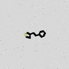 C(=C\c1ccsc1)/c1ccccc1